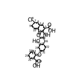 O=C(O)c1cc2cc(Cl)ccc2nc1N[C@@H](Cc1ccc(Oc2ncccc2C(=O)O)cc1)C(=O)O